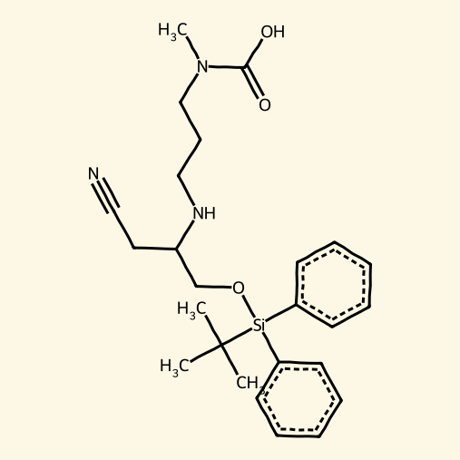 CN(CCCNC(CC#N)CO[Si](c1ccccc1)(c1ccccc1)C(C)(C)C)C(=O)O